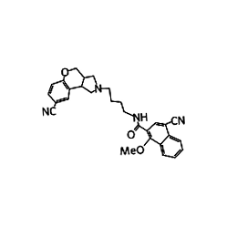 COc1c(C(=O)NCCCCN2CC3COc4ccc(C#N)cc4C3C2)cc(C#N)c2ccccc12